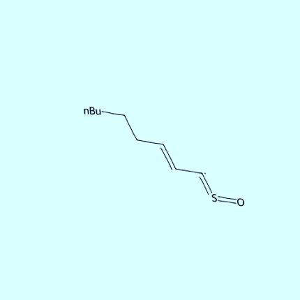 CCCCCCC=C[C]=S=O